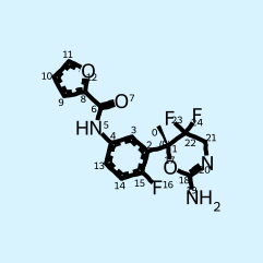 C[C@]1(c2cc(NC(=O)c3ccco3)ccc2F)OC(N)=NCC1(F)F